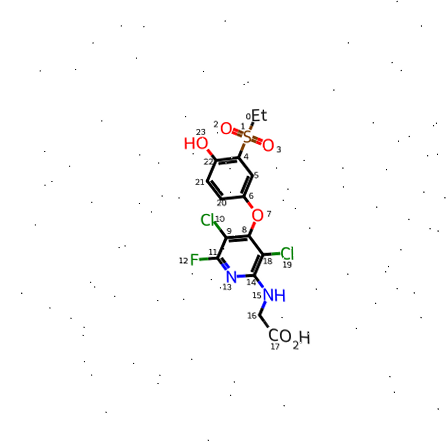 CCS(=O)(=O)c1cc(Oc2c(Cl)c(F)nc(NCC(=O)O)c2Cl)ccc1O